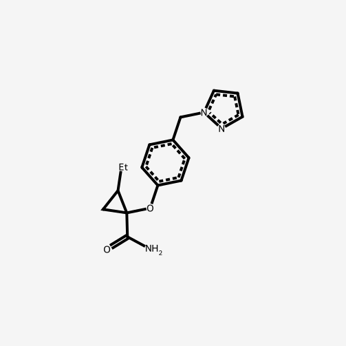 CCC1CC1(Oc1ccc(Cn2cccn2)cc1)C(N)=O